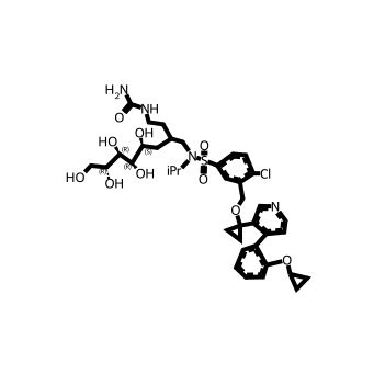 CC(C)N(CC(CCNC(N)=O)C[C@H](O)[C@@H](O)[C@H](O)[C@H](O)CO)S(=O)(=O)c1ccc(Cl)c(COC2(c3cnccc3-c3ccccc3OC3CC3)CC2)c1